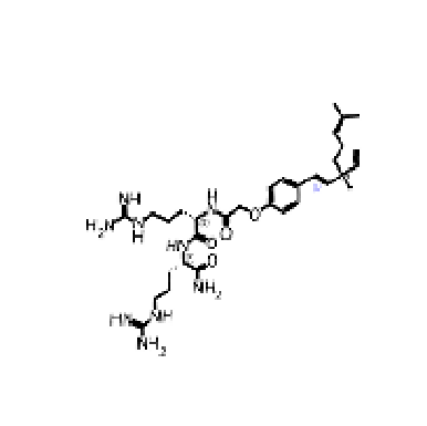 C=C[C@](C)(/C=C/c1ccc(OCC(=O)N[C@@H](CCCNC(=N)N)C(=O)N[C@@H](CCCNC(=N)N)C(N)=O)cc1)CCC=C(C)C